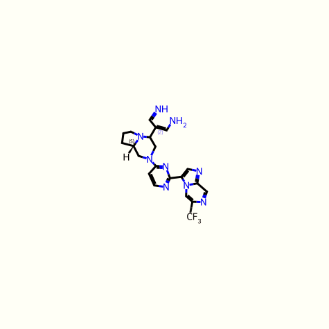 N=C/C(=C\N)C1CN(c2ccnc(-c3cnc4cnc(C(F)(F)F)cn34)n2)C[C@@H]2CCCN12